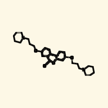 O=c1oc2cc(OCCCN3CCCCC3)ccc2c2ccc(OCCCN3CCCCC3)cc12